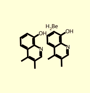 Cc1cnc2c(O)cccc2c1C.Cc1cnc2c(O)cccc2c1C.[BeH2]